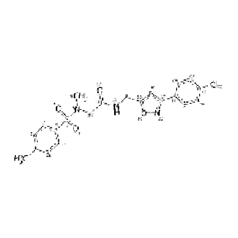 Cc1ccc(S(=O)(=O)N(C)CC(=O)NCc2nc(-c3ccc(Cl)cc3)no2)cc1